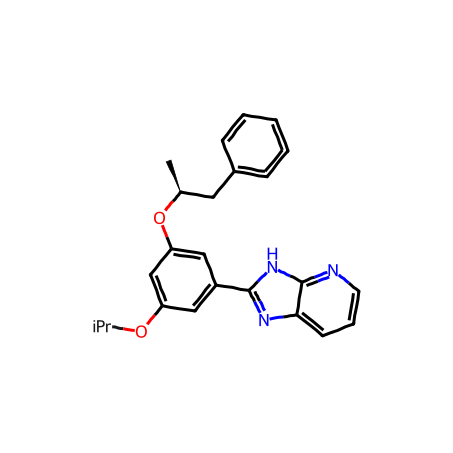 CC(C)Oc1cc(O[C@@H](C)CC2=C=C=CC=C2)cc(-c2nc3cccnc3[nH]2)c1